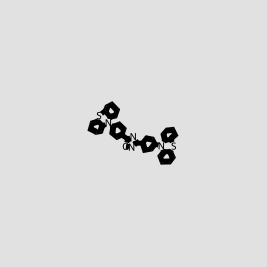 c1ccc2c(c1)Sc1ccccc1N2c1ccc(-c2noc(-c3ccc(N4c5ccccc5Sc5ccccc54)cc3)n2)cc1